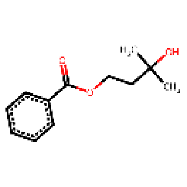 CC(C)(O)CCOC(=O)c1ccccc1